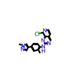 Cc1cc(-c2cnn(C)c2)ccc1Nc1ncc2ccnc(Cl)c2n1